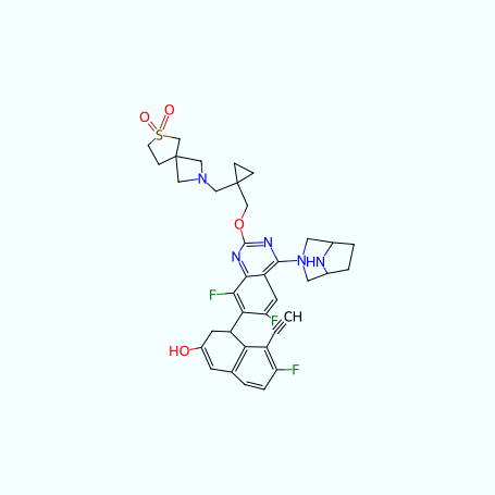 C#Cc1c(F)ccc2c1C(c1c(F)cc3c(N4CC5CCC(C4)N5)nc(OCC4(CN5CC6(CCS(=O)(=O)C6)C5)CC4)nc3c1F)CC(O)=C2